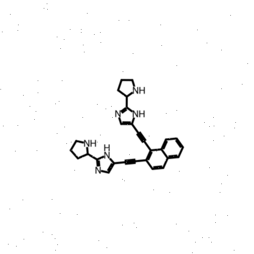 C(#Cc1ccc2ccccc2c1C#Cc1cnc(C2CCCN2)[nH]1)c1cnc(C2CCCN2)[nH]1